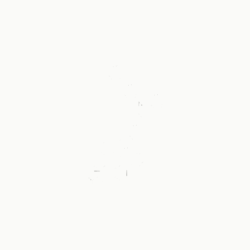 c1ccc(-c2ccc(N(c3ccccc3)c3ccc(-c4ccc(C5(c6ccccc6)c6ccccc6C6(c7ccccc7)c7ccccc7-c7cccc5c76)cc4)cc3)cc2)cc1